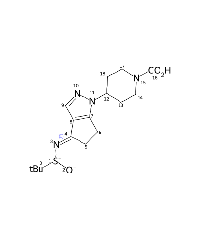 CC(C)(C)[S+]([O-])/N=C1\CCc2c1cnn2C1CCN(C(=O)O)CC1